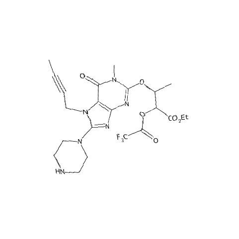 CC#CCn1c(N2CCNCC2)nc2nc(OC(C)C(OC(=O)C(F)(F)F)C(=O)OCC)n(C)c(=O)c21